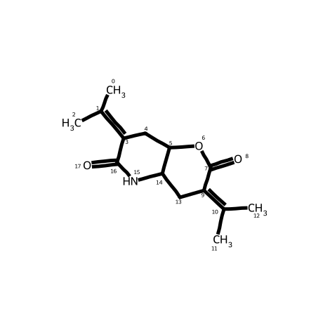 CC(C)=C1CC2OC(=O)C(=C(C)C)CC2NC1=O